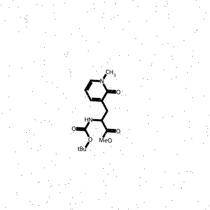 COC(=O)C(Cc1cccn(C)c1=O)NC(=O)OC(C)(C)C